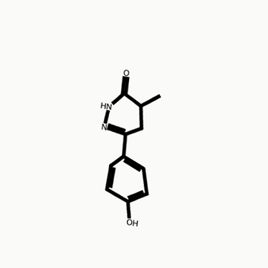 CC1CC(c2ccc(O)cc2)=NNC1=O